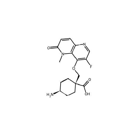 Cn1c(=O)ccc2ncc(F)c(OC[C@]3(C(=O)O)CC[C@H](N)CC3)c21